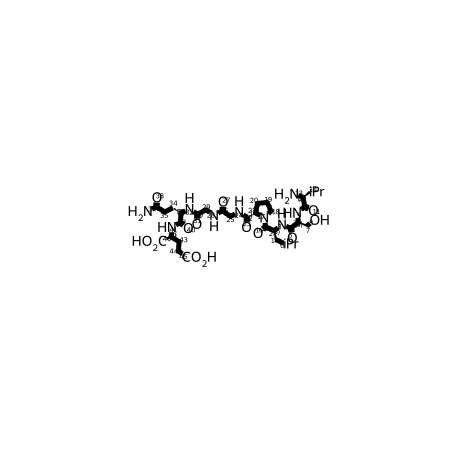 CC(C)C[C@H](NC(=O)[C@H](CO)NC(=O)[C@@H](N)C(C)C)C(=O)N1CCC[C@H]1C(=O)NCC(=O)NCC(=O)N[C@@H](CCC(N)=O)C(=O)N[C@@H](CCC(=O)O)C(=O)O